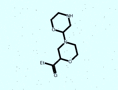 CCC(=O)C1CN(C2CNCCO2)CCO1